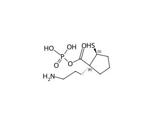 NCCC[C@@]1(C(=O)OP(=O)(O)O)CCC[C@@H]1S